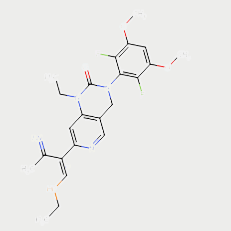 CCP/C=C(\C(C)=N)c1cc2c(cn1)CN(c1c(F)c(OC)cc(OC)c1F)C(=O)N2CC